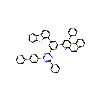 c1ccc(-c2ccc(-c3nc(-c4ccccc4)nc(-c4cc(-c5cc(-c6ccccc6)c6c(ccc7ccccc76)n5)cc(-c5cccc6c5oc5ccccc56)c4)n3)cc2)cc1